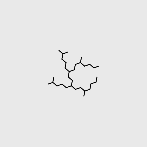 CCCCC(C)CCC(CCCC(C)C)CCC(CCCC(C)C)CCC(C)CCCC